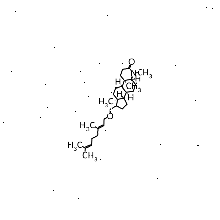 CC(C)=CCC/C(C)=C/COCC1CC[C@H]2[C@@H]3CC[C@H]4N(C)C(=O)CC[C@]4(C)[C@H]3CC[C@]12C